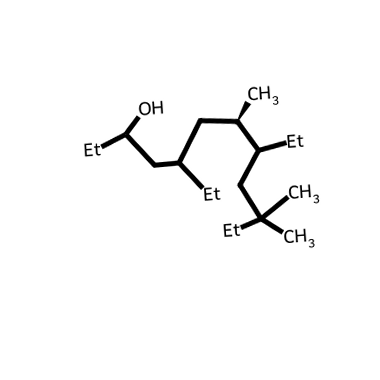 CCC(O)CC(CC)C[C@@H](C)C(CC)CC(C)(C)CC